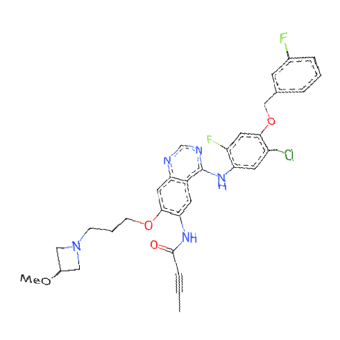 CC#CC(=O)Nc1cc2c(Nc3cc(Cl)c(OCc4cccc(F)c4)cc3F)ncnc2cc1OCCCN1CC(OC)C1